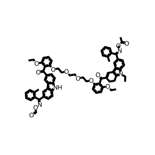 CCOc1cccc(OCCOCCOCCOc2cccc(OCC)c2C(=O)c2ccc3[nH]c4ccc(/C(=N/OC=O)c5ccccc5C)cc4c3c2)c1C(=O)C1=Cc2c(n(CC)c3ccc(/C(=N/OC(C)=O)c4ccccc4C)cc23)CC1